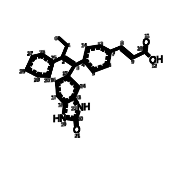 CCC(=C(c1ccc(C=CC(=O)O)cc1)c1ccc2[nH]c(=O)[nH]c2c1)c1ccccc1